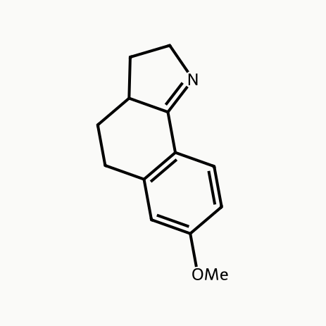 COc1ccc2c(c1)CCC1CCN=C21